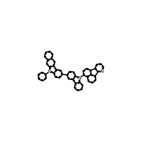 c1ccc(-n2c3ccc(-c4ccc5c(c4)c4ccccc4n5-c4ccc5c6c(cccc46)-c4ncccc4-5)cc3c3cc4ccccc4cc32)cc1